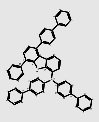 c1ccc(-c2ccc(-c3ccc(-c4ccccc4)c4oc5c(N(c6ccc(-c7ccccc7)cc6)c6ccc(-c7ccccc7)cc6)cccc5c34)cc2)cc1